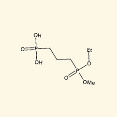 CCOP(=O)(CCCP(=O)(O)O)OC